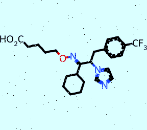 O=C(O)CCCCO/N=C(\C1CCCCC1)C(Cc1ccc(C(F)(F)F)cc1)n1ccnc1